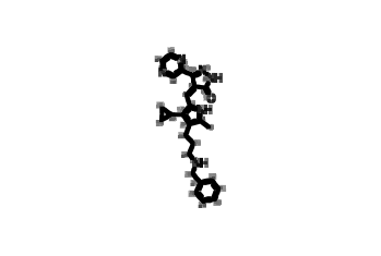 Cc1[nH]c(C=C2C(=O)NN=C2c2cnccn2)c(C2CC2)c1CCCNCc1ccccc1